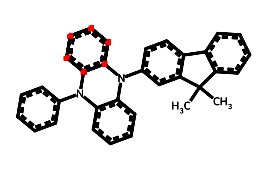 CC1(C)c2ccccc2-c2ccc(N(c3ccccc3)c3ccccc3N(c3ccccc3)c3ccccc3)cc21